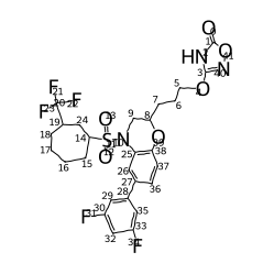 O=c1[nH]c(OCCCC2CN(S(=O)(=O)C3CCCCC(C(F)(F)F)C3)c3cc(-c4cc(F)cc(F)c4)ccc3O2)no1